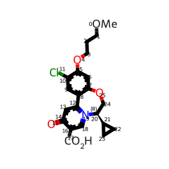 COCCCOc1cc2c(cc1Cl)-c1cc(=O)c(C(=O)O)cn1[C@H](C1CC1)CO2